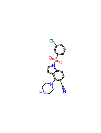 N#Cc1ccc2c(ccn2S(=O)(=O)c2cccc(Cl)c2)c1N1CCNCC1